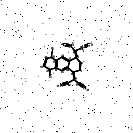 [C-]#[N+]C([N+]#[C-])=c1ccc(=C(C#N)C#N)c2cc3c(cc12)C(C)C=CC3C